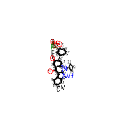 CCOc1cc2c(=O)c3c4ccc(C#N)cc4[nH]c3n(C3CCC3)c2cc1-c1cccc(S(=O)(=O)F)c1